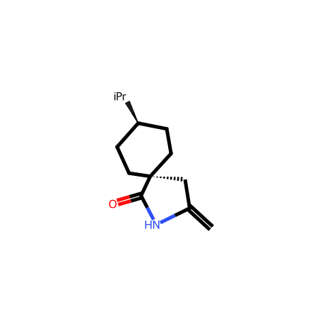 C=C1C[C@]2(CC[C@H](C(C)C)CC2)C(=O)N1